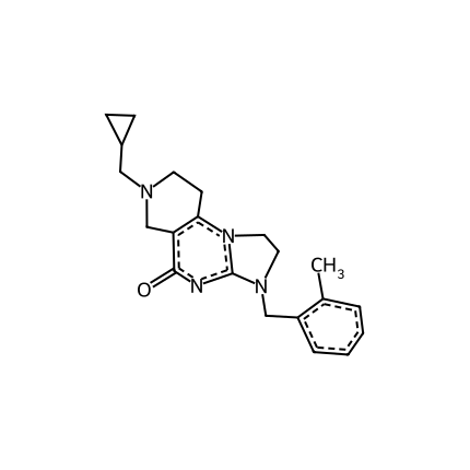 Cc1ccccc1CN1CCn2c1nc(=O)c1c2CCN(CC2CC2)C1